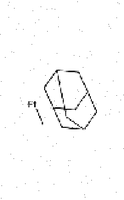 C1[C]2CC3CC1CC(C2)C3.C[CH]C